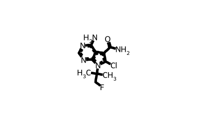 CC(C)(CF)n1c(Cl)c(C(N)=O)c2c(N)ncnc21